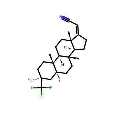 C[C@]12CC[C@](O)(C(F)(F)F)C[C@@H]1CC[C@@H]1[C@@H]2CC[C@]2(C)/C(=C\C#N)CC[C@@H]12